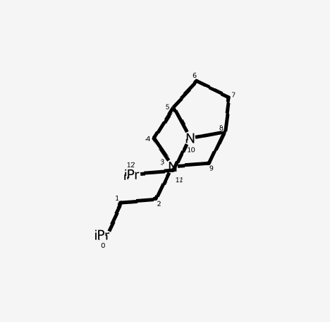 CC(C)CCN1CC2CCC(C1)N2CC(C)C